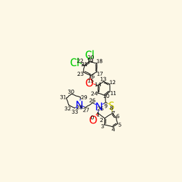 O=C1c2ccccc2SC(c2cccc(Oc3ccc(Cl)c(Cl)c3)c2)N1CCN1CCCCC1